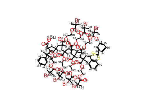 CCCCOC(=O)C(C)(CC(C)(CC(C)(CC(C)(CC(C)(CC(C)(CC(C)(CC(C)(CC(SC(=S)c1ccccc1)c1ccccc1)C(=O)OCCOC(=O)C(C)(C)Br)C(=O)OCCOC(=O)C(C)(C)Br)C(=O)OCCOC(=O)C(C)(C)Br)C(=O)OCCOC(=O)C(C)(C)Br)C(=O)OCCOC(=O)C(C)(C)Br)C(=O)OCCOC(=O)C(C)(C)Br)C(=O)OCCOC(=O)C(C)(C)Br)CC(C)(C)c1ccccc1